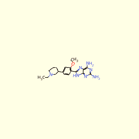 CCN1CCCC(c2ccc(-c3nc4c(N)nc(N)nc4[nH]3)c(OC)c2)C1